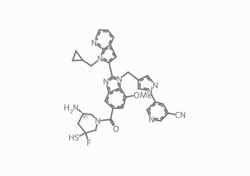 COc1cc(C(=O)N2C[C@H](N)CC(F)(S)C2)cc2nc(-c3cc4cccnc4n3CC3CC3)n(Cc3cnn(-c4cncc(C#N)c4)c3)c12